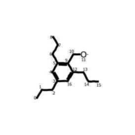 CCCc1cc(CCC)c(C[O])c(CCC)c1